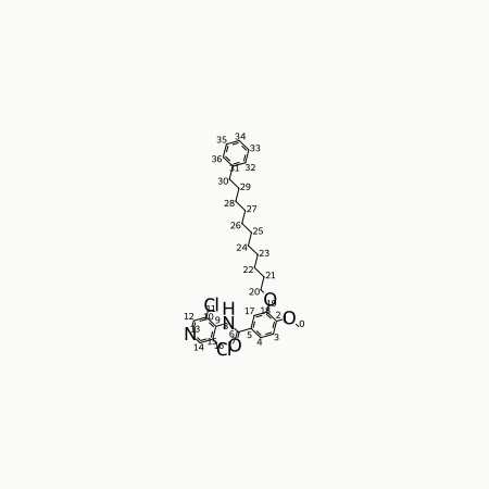 COc1ccc(C(=O)Nc2c(Cl)cncc2Cl)cc1OCCCCCCCCCCCc1ccccc1